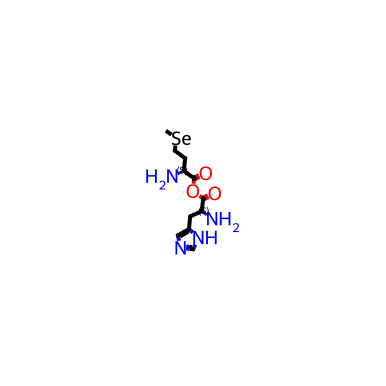 C[Se]CC[C@H](N)C(=O)OC(=O)[C@@H](N)Cc1cnc[nH]1